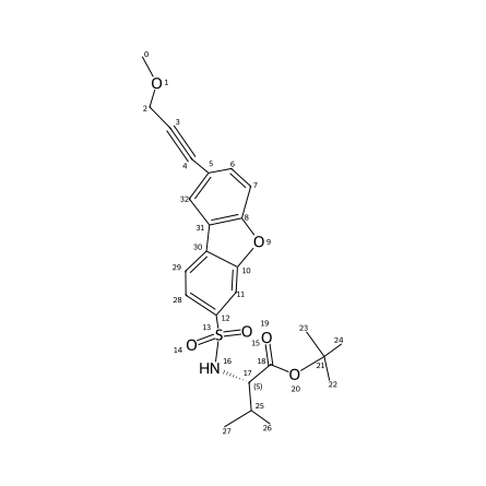 COCC#Cc1ccc2oc3cc(S(=O)(=O)N[C@H](C(=O)OC(C)(C)C)C(C)C)ccc3c2c1